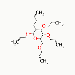 C=CCCC1C(OCC=C)[C@H](OCC=C)C(COCC=C)O[C@H]1OCC=C